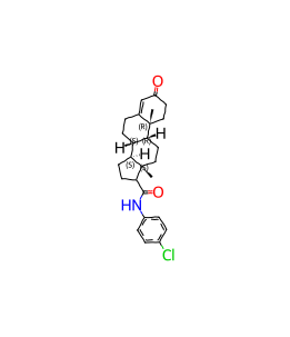 C[C@]12CCC(=O)C=C1CC[C@@H]1[C@H]2CC[C@]2(C)C(C(=O)Nc3ccc(Cl)cc3)CC[C@@H]12